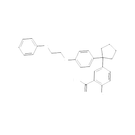 O=C(O)c1cc(C2(c3ccc(OCCOc4ccccc4)cc3)CCCC2)ccc1O